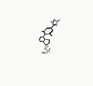 Cc1cc(-c2nnn(C)n2)cc(C)c1-c1cccc2c1CC[C@@H]2O[Si](C)(C)C(C)(C)C